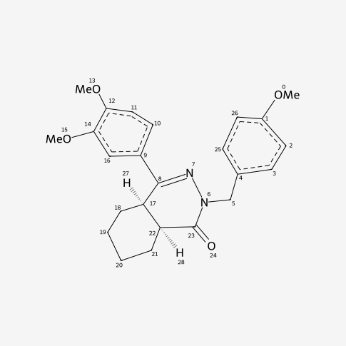 COc1ccc(CN2N=C(c3ccc(OC)c(OC)c3)[C@@H]3CCCC[C@@H]3C2=O)cc1